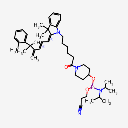 C=C(/C=C/C=C1/N(CCCCCC(=O)N2CCC(OP(OCCC#N)N(C(C)C)C(C)C)CC2)c2ccccc2C1(C)C)C(C)(C)c1ccccc1C